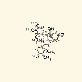 Cc1c(O)ccc(C2CNC(CCO)(c3ccc(Cl)cc3)C(c3ccc(O)c(C)c3C)N2C)c1C